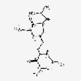 CC(C)NC(CCSCC(NCN)C(=O)C(C)C)C(=O)C(C)C